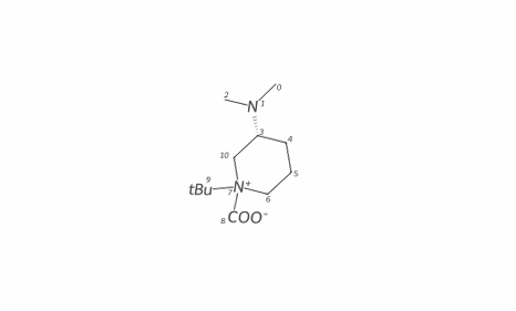 CN(C)[C@@H]1CCC[N+](C(=O)[O-])(C(C)(C)C)C1